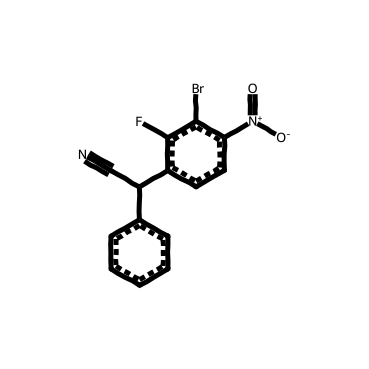 N#CC(c1ccccc1)c1ccc([N+](=O)[O-])c(Br)c1F